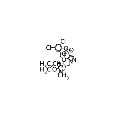 CN(CC1COc2c(S(=O)(=O)Oc3c(Cl)cc(Cl)cc3Cl)cnn2C1)C(=O)OC(C)(C)C